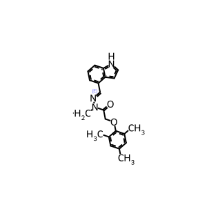 [CH2]N(/N=C/c1cccc2[nH]ccc12)C(=O)COc1c(C)cc(C)cc1C